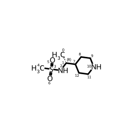 C[C@@H](NS(C)(=O)=O)C1CCNCC1